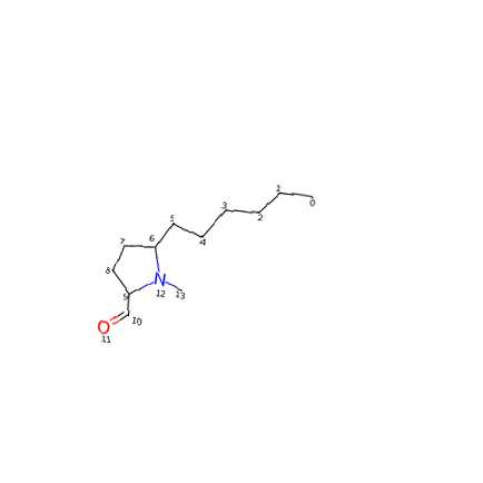 CCCCCCC1CCC(C=O)N1C